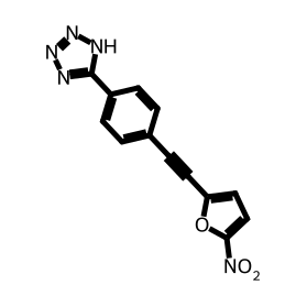 O=[N+]([O-])c1ccc(C#Cc2ccc(-c3nnn[nH]3)cc2)o1